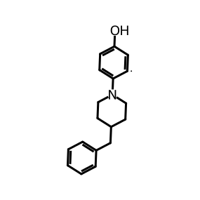 Oc1c[c]c(N2CCC(Cc3ccccc3)CC2)cc1